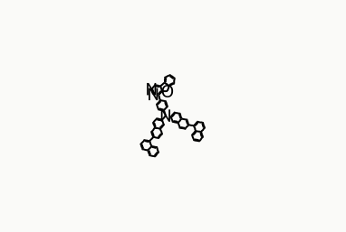 c1ccc2c(-c3ccc4cc(N(c5ccc(-c6nncc7c6oc6ccccc67)cc5)c5ccc6cc(-c7cccc8ccccc78)ccc6c5)ccc4c3)cccc2c1